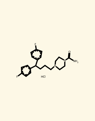 Cl.NC(=O)N1CCN(CCCC(c2ccc(F)cc2)c2ccc(F)cc2)CC1